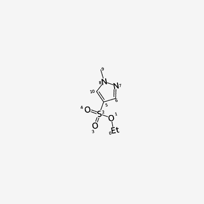 CCOS(=O)(=O)c1cnn(C)c1